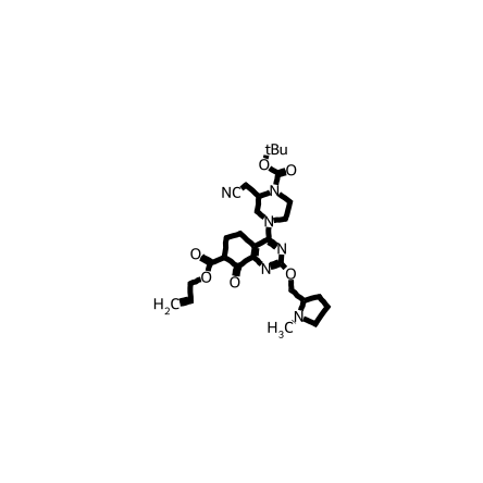 C=CCOC(=O)C1CCc2c(nc(OCC3CCCN3C)nc2N2CCN(C(=O)OC(C)(C)C)C(CC#N)C2)C1=O